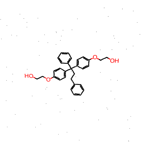 OCCOc1ccc(C(CCc2ccccc2)(c2ccccc2)c2ccc(OCCO)cc2)cc1